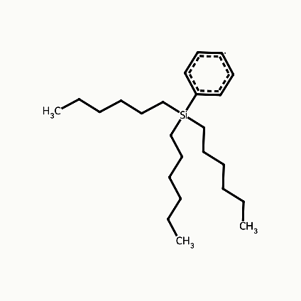 CCCCCC[Si](CCCCCC)(CCCCCC)c1cc[c]cc1